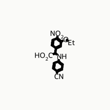 CCOc1cc(C(Nc2ccc(C#N)cc2)C(=O)O)ccc1[N+](=O)[O-]